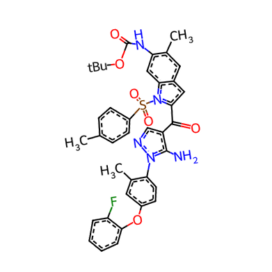 Cc1ccc(S(=O)(=O)n2c(C(=O)c3cnn(-c4ccc(Oc5ccccc5F)cc4C)c3N)cc3cc(C)c(NC(=O)OC(C)(C)C)cc32)cc1